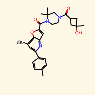 Cc1ccc(-c2cc(C(C)(C)C)c3oc(C(=O)N4CCN(C(=O)C5CC(C)(O)C5)CC4(C)C)cc3n2)cc1